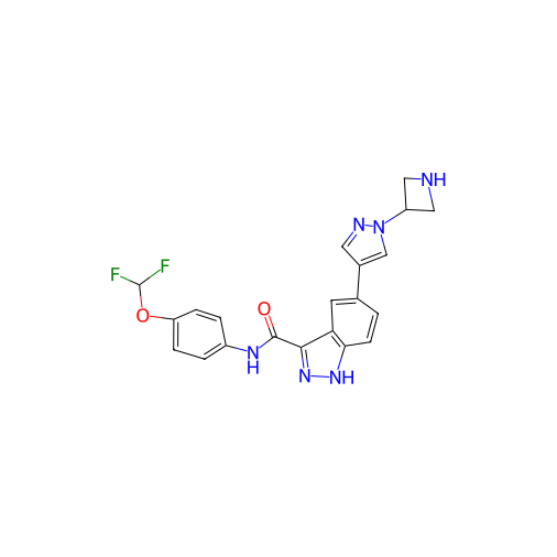 O=C(Nc1ccc(OC(F)F)cc1)c1n[nH]c2ccc(-c3cnn(C4CNC4)c3)cc12